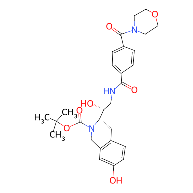 CC(C)(C)OC(=O)N1Cc2cc(O)ccc2C[C@H]1[C@H](O)CNC(=O)c1ccc(C(=O)N2CCOCC2)cc1